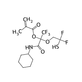 C=C(C)C(=O)OC(OCC(F)(F)S)(C(=O)NC1CCCCC1)C(F)(F)F